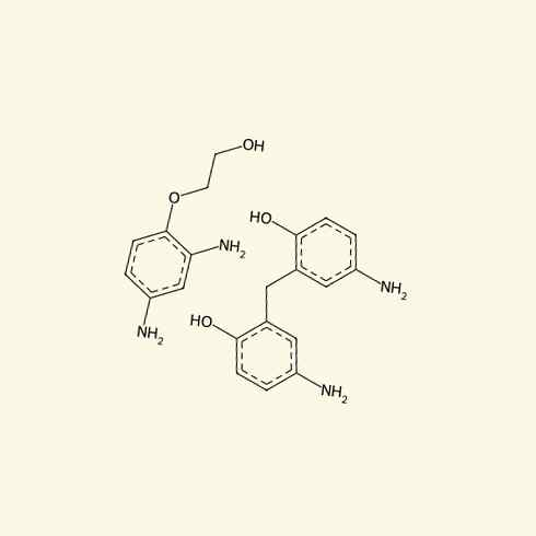 Nc1ccc(O)c(Cc2cc(N)ccc2O)c1.Nc1ccc(OCCO)c(N)c1